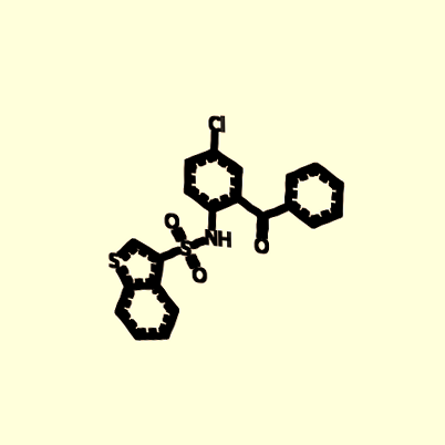 O=C(c1ccccc1)c1cc(Cl)ccc1NS(=O)(=O)c1csc2ccccc12